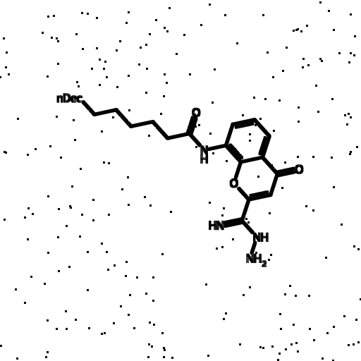 CCCCCCCCCCCCCCCC(=O)Nc1cccc2c(=O)cc(C(=N)NN)oc12